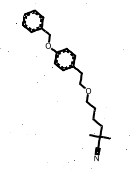 CC(C)(C#N)CCCCOCCc1ccc(OCc2ccccc2)cc1